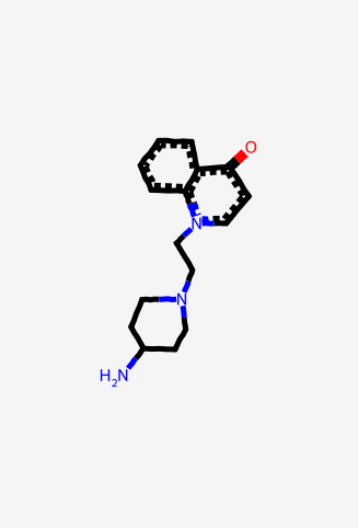 NC1CCN(CCn2ccc(=O)c3ccccc32)CC1